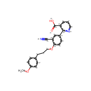 COc1ccc(CCCOc2ccc(-c3ncccc3C(=O)O)cc2C#N)cc1